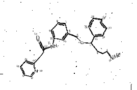 CNCCC(OCc1cccc(NC(=O)c2ccccn2)c1)c1ccccc1